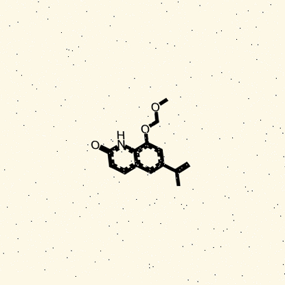 C=C(C)c1cc(OCOC)c2[nH]c(=O)ccc2c1